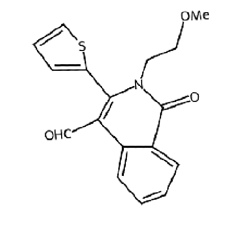 COCCn1c(-c2cccs2)c(C=O)c2ccccc2c1=O